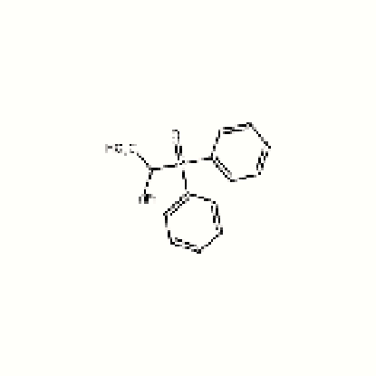 CCCC(C(=O)O)P(=O)(c1ccccc1)c1ccccc1